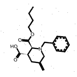 C=C1C[C@H](C(=O)O)[C@@H](C(=O)OCCCC)N(Cc2ccccc2)C1